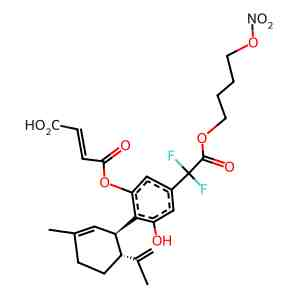 C=C(C)[C@@H]1CCC(C)=C[C@H]1c1c(O)cc(C(F)(F)C(=O)OCCCCO[N+](=O)[O-])cc1OC(=O)C=CC(=O)O